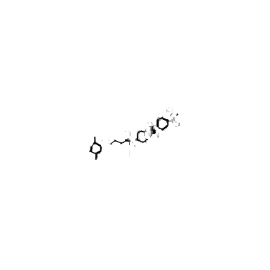 Cc1ccc(C)c(OCCCC(=O)NC2CCN(S(=O)(=O)c3ccc(S(C)(=O)=O)cc3)CC2)c1